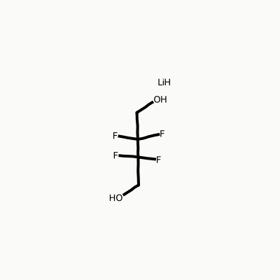 OCC(F)(F)C(F)(F)CO.[LiH]